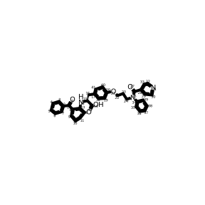 O=C(c1ccccc1)c1ccccc1N[C@@H](Cc1ccc(OCCCN(C(=O)c2ccncc2)c2ccccc2)cc1)C(=O)O